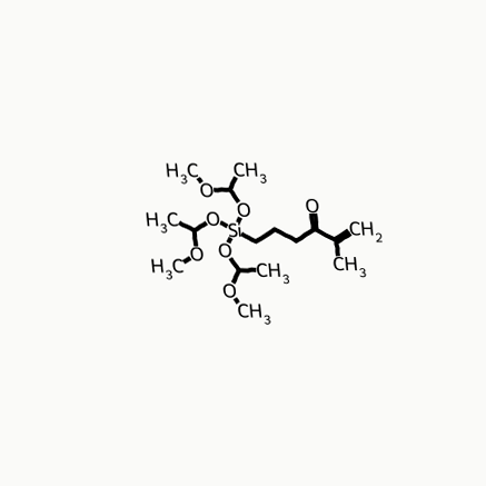 C=C(C)C(=O)CCC[Si](OC(C)OC)(OC(C)OC)OC(C)OC